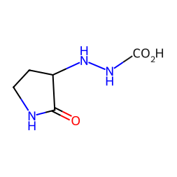 O=C(O)NNC1CCNC1=O